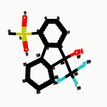 CS(=O)(=O)c1cccc2c1-c1ccccc1C2(O)C(F)(F)F